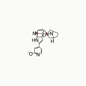 COc1cc(-c2cc3c(N4CC5CC[C@H](C4)N5C4CC(C#N)C4)ccnc3[nH]2)ccn1